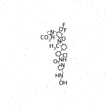 Cc1c(-c2nc3cc(CN4CCC[C@H]4C(=O)O)c(OC(F)F)cc3o2)cccc1-c1cccc(NC(=O)c2ccc(CNCCO)cn2)c1Cl